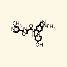 Cc1cc(-c2nc(C(=O)Nc3cc4cnn(C)c4cc3N3CCC(O)CC3)co2)ccn1